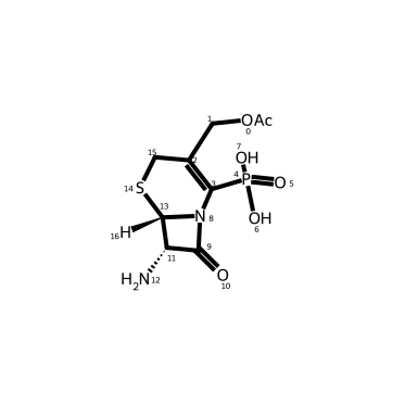 CC(=O)OCC1=C(P(=O)(O)O)N2C(=O)[C@H](N)[C@@H]2SC1